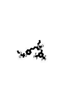 CCCn1c(CCCc2ccc(OC(C)(C)C(=O)OCC)cc2)cn(Cc2cc(C(F)(F)F)cc(C(F)(F)F)c2)c1=O